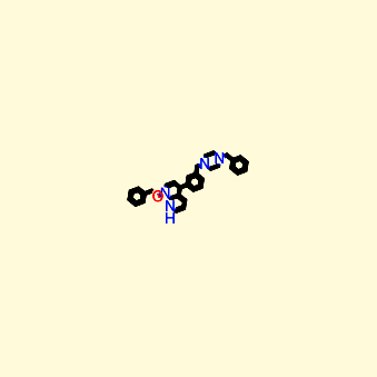 C1=CNC2C(=C1)C(c1cccc(CN3CCN(Cc4ccccc4)CC3)c1)C=CN2OCc1ccccc1